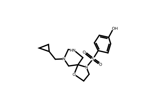 O=S(=O)(c1ccc(O)cc1)N1CCOC12CNCN(CC1CC1)C2